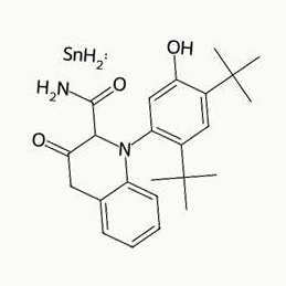 CC(C)(C)c1cc(C(C)(C)C)c(N2c3ccccc3CC(=O)C2C(N)=O)cc1O.[SnH2]